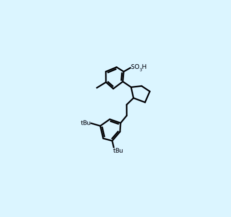 Cc1ccc(S(=O)(=O)O)c(C2CCCC2CCc2cc(C(C)(C)C)cc(C(C)(C)C)c2)c1